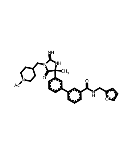 CC(=O)N1CCC(CN2C(=N)NC(C)(c3cccc(-c4cccc(C(=O)NCc5ccco5)c4)c3)C2=O)CC1